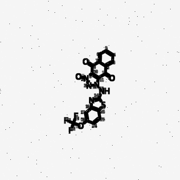 O=C1c2ccccc2C(=O)c2c1n(Nc1nc3cc(OC(F)(F)F)ccc3s1)n[n+]2[O-]